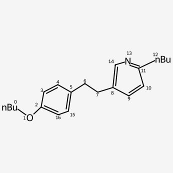 CCCCOc1ccc(CCc2ccc(CCCC)nc2)cc1